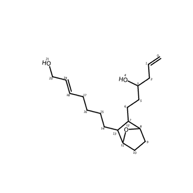 C=CCC(O)CCC1C2CCC(O2)C1CCCCC=CCO